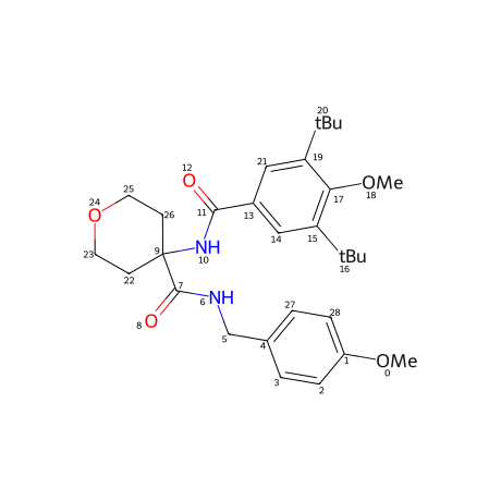 COc1ccc(CNC(=O)C2(NC(=O)c3cc(C(C)(C)C)c(OC)c(C(C)(C)C)c3)CCOCC2)cc1